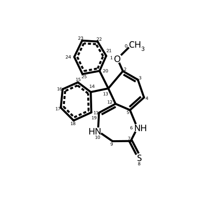 COC1=CC=C2NC(=S)CNC=C2C1(c1ccccc1)c1ccccc1